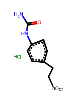 CCCCCCCCCCc1ccc(NC(N)=O)cc1.Cl